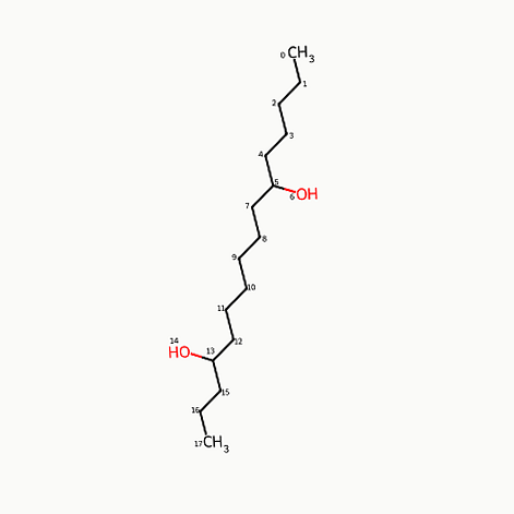 CCCCCC(O)CCCCCCC(O)CCC